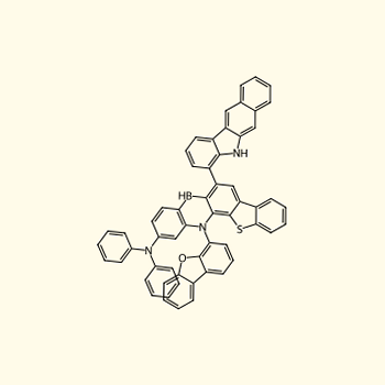 B1c2ccc(N(c3ccccc3)c3ccccc3)cc2N(c2cccc3c2oc2ccccc23)c2c1c(-c1cccc3c1[nH]c1cc4ccccc4cc13)cc1c2sc2ccccc21